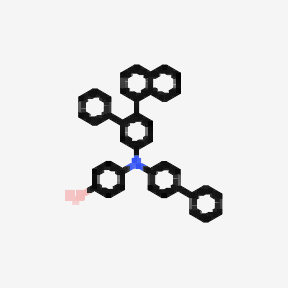 Bc1ccc(N(c2ccc(-c3ccccc3)cc2)c2ccc(-c3cccc4ccccc34)c(-c3ccccc3)c2)cc1